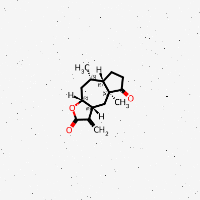 C=C1C(=O)O[C@@H]2C[C@H](C)[C@@H]3CCC(=O)[C@@]3(C)C[C@H]12